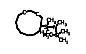 CN([Si](C)(C)C)[Si](C)(C)C1CCCCCCCCCCC1